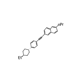 CCCc1ccc2cc(C#Cc3ccc([C@H]4CC[C@H](CC)CC4)cc3)ccc2c1